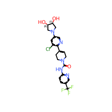 O=C(Nc1ccc(C(F)(F)F)cn1)N1CC=C(c2ncc(N3C[C@@H](O)[C@@H](O)C3)cc2Cl)CC1